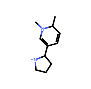 CC1C=CC(C2CCCN2)=CN1C